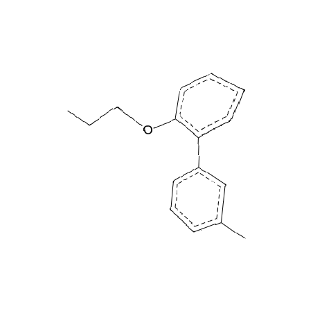 CCCOc1ccccc1-c1cccc(C)c1